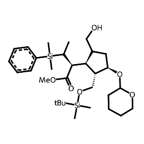 COC(=O)[C@@H](C(C)[Si](C)(C)c1ccccc1)[C@H]1C(CO)C[C@@H](OC2CCCCO2)[C@@H]1CO[Si](C)(C)C(C)(C)C